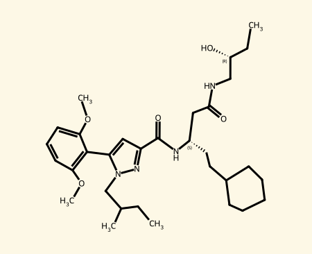 CCC(C)Cn1nc(C(=O)N[C@@H](CCC2CCCCC2)CC(=O)NC[C@H](O)CC)cc1-c1c(OC)cccc1OC